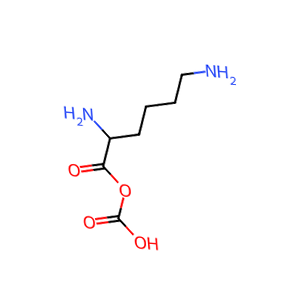 NCCCCC(N)C(=O)OC(=O)O